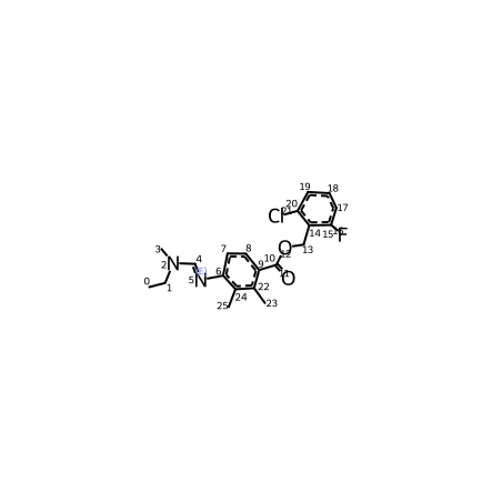 CCN(C)/C=N/c1ccc(C(=O)OCc2c(F)cccc2Cl)c(C)c1C